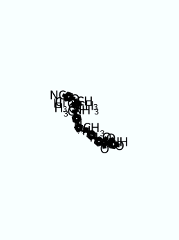 CN(C[C@H]1CCN(c2ccc(C(=O)NC3C(C)(C)C(Oc4ccc(C#N)c(Cl)c4)C3(C)C)cc2)C1)C1CCN(c2ccc3c(c2)C(=O)N(C2CCC(=O)NC2=O)C3=O)CC1